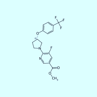 COC(=O)c1cnc(N2CC[C@H](Oc3ccc(C(F)(F)F)cc3)C2)c(F)c1